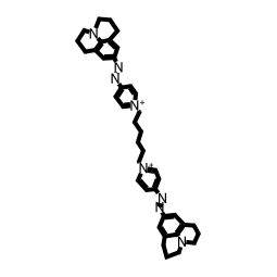 c1c[n+](CCCCCC[n+]2ccc(N=Nc3cc4c5c(c3)CCCN5CCC4)cc2)ccc1N=Nc1cc2c3c(c1)CCCN3CCC2